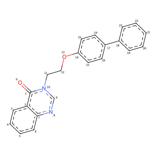 O=c1c2ccccc2ncn1CCOc1ccc(-c2ccccc2)cc1